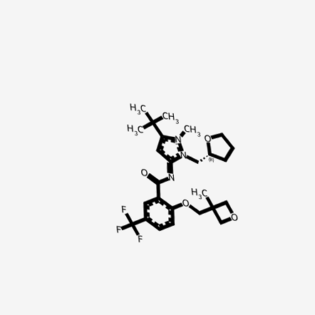 Cn1c(C(C)(C)C)cc(=NC(=O)c2cc(C(F)(F)F)ccc2OCC2(C)COC2)n1C[C@H]1CCCO1